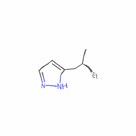 CC[C@H](C)c1ccn[nH]1